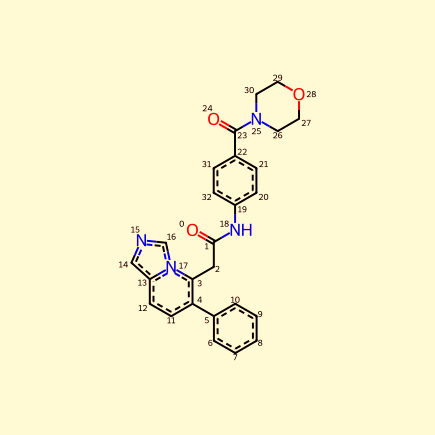 O=C(Cc1c(-c2ccccc2)ccc2cncn12)Nc1ccc(C(=O)N2CCOCC2)cc1